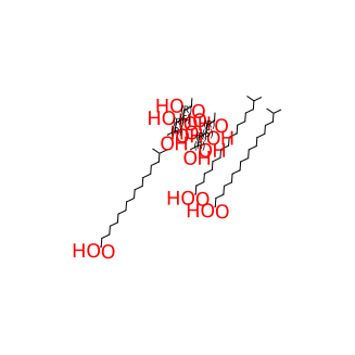 CC(=O)[C@H](O)[C@@H](O)[C@H](O)[C@H](O)CO.CC(=O)[C@H](O)[C@@H](O)[C@H](O)[C@H](O)CO.CC(C)CCCCCCCCCCCCCCC(=O)O.CC(C)CCCCCCCCCCCCCCC(=O)O.CC(C)CCCCCCCCCCCCCCC(=O)O